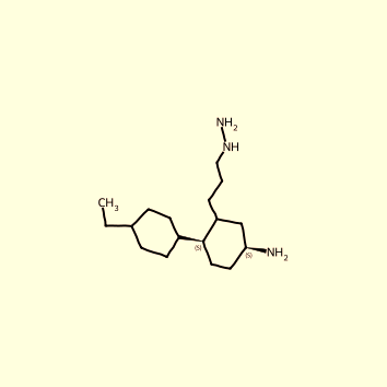 CCC1CCC([C@@H]2CC[C@H](N)CC2CCCNN)CC1